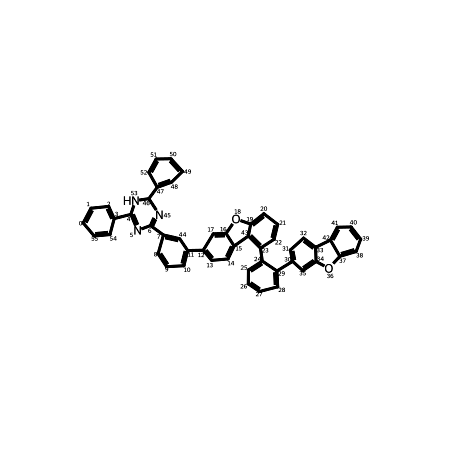 c1ccc(C2=NC(c3cccc(-c4ccc5c(c4)oc4cccc(-c6ccccc6-c6ccc7c(c6)oc6ccccc67)c45)c3)=NC(c3ccccc3)N2)cc1